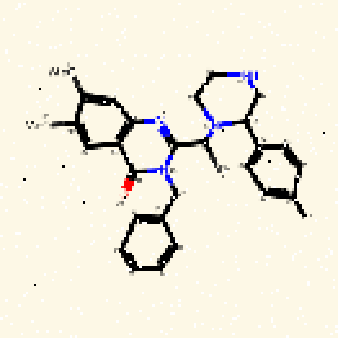 COc1cc2nc(C(C(C)C)N3CCNCC3c3ccc(C)cc3)n(Cc3ccccc3)c(=O)c2cc1OC